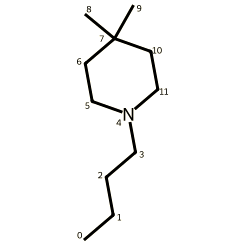 CCCCN1CCC(C)(C)CC1